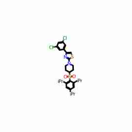 CC(C)c1cc(C(C)C)c(S(=O)(=O)C2CCN(c3nc(-c4cc(Cl)cc(Cl)c4)cs3)CC2)c(C(C)C)c1